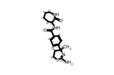 CC1(c2ccc(C(=O)NC3CCCCNC3=O)cc2)CCSC(N)=N1